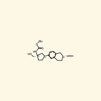 CCCCCC[C@@H]1CCc2cc([C@H]3CC[C@@](CO)(NC(=O)OC(C)(C)C)C3)ccc2C1